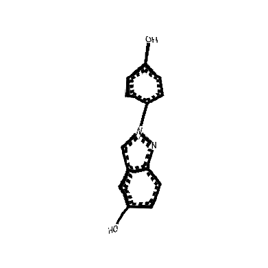 Oc1ccc(-n2cc3cc(O)ccc3n2)cc1